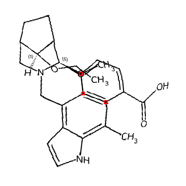 CCO[C@H]1C2CCC1[C@@H](c1ccc(C(=O)O)cc1)N(Cc1c(OC)cc(C)c3[nH]ccc13)C2